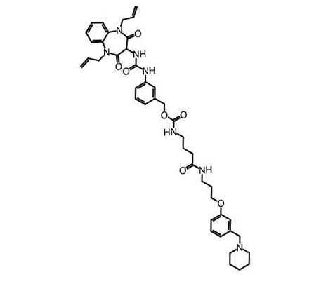 C=CCN1C(=O)C(NC(=O)Nc2cccc(COC(=O)NCCCC(=O)NCCCOc3cccc(CN4CCCCC4)c3)c2)C(=O)N(CC=C)c2ccccc21